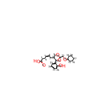 O=C(O)CC/C=C\CC1COC(COC2CCCCC2)OC1c1ccccc1O